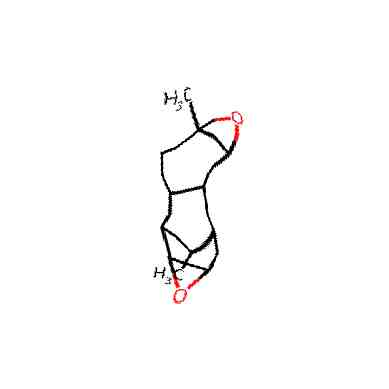 CC1C2C3CC4(C)OC4C3C1C1OC12